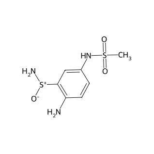 CS(=O)(=O)Nc1ccc(N)c([S+](N)[O-])c1